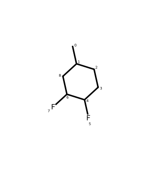 CC1CCC(F)C(F)C1